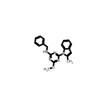 COc1nc(NCc2ccccc2)nc(-n2c(C)cc3ccccc32)n1